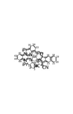 CC(C)c1cccc(C(C)C)c1N1C(=C/C=C2\C(=O)c3cc4ccccc4cc3C2=C(C#N)C#N)N(c2c(C(C)C)cccc2C(C)C)c2nc3ccccc3nc21